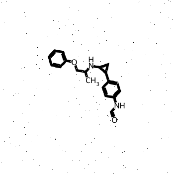 CC(COc1ccccc1)NC1CC1c1ccc(NC=O)cc1